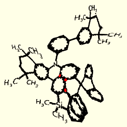 CC1(C)CCC(C)(C)c2cc(-c3cccc(N(c4ccc5c(c4)Oc4ccccc4C54c5ccccc5-c5ccccc54)c4cc5c(cc4-c4ccc6c(c4)[Si](C)(C)c4ccccc4-6)C(C)(C)CCC5(C)C)c3)ccc21